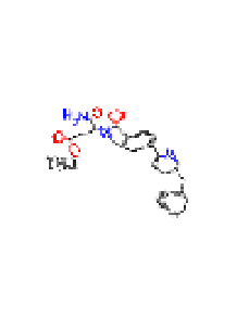 CC(C)(C)OC(=O)CCC(C(N)=O)N1Cc2cc(-c3ccc(Cc4ccccc4)cn3)ccc2C1=O